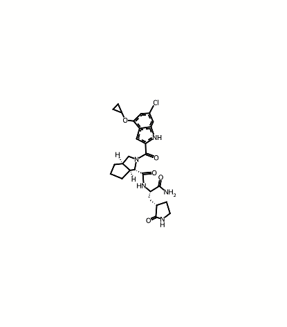 NC(=O)[C@H](C[C@@H]1CCNC1=O)NC(=O)[C@@H]1[C@H]2CCC[C@H]2CN1C(=O)c1cc2c(OC3CC3)cc(Cl)cc2[nH]1